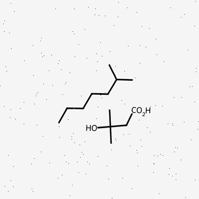 CC(C)(O)CC(=O)O.CCCCCC(C)C